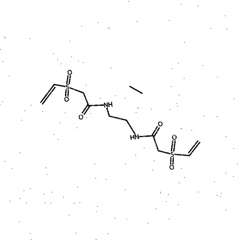 C=CS(=O)(=O)CC(=O)NCCNC(=O)CS(=O)(=O)C=C.CC